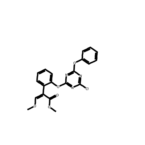 COC=C(C(=O)OC)c1ccccc1Oc1nc(Cl)nc(Oc2ccccc2)n1